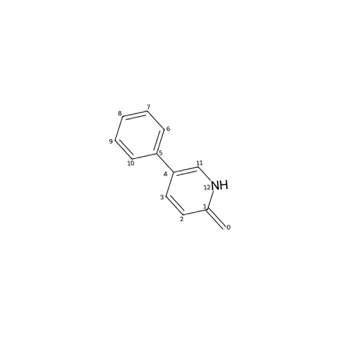 C=C1C=CC(c2ccccc2)=CN1